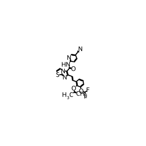 C=C(C)Oc1c(/C=C/c2nc3sccn3c2C(=O)Nc2ccc(C#N)cn2)cccc1OC(F)F